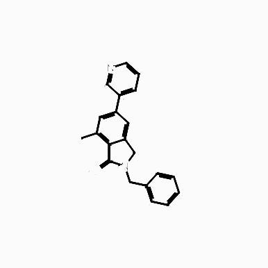 Cc1cc(-c2cccnc2)cc2c1C(=O)N(Cc1ccccc1)C2